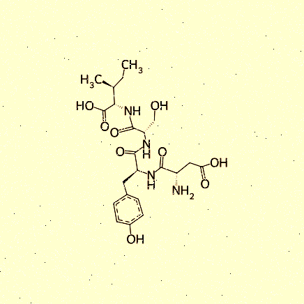 CC[C@H](C)[C@H](NC(=O)[C@H](CO)NC(=O)[C@H](Cc1ccc(O)cc1)NC(=O)[C@@H](N)CC(=O)O)C(=O)O